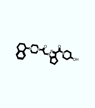 O=C(Cn1nc(C(=O)N2CCC(O)CC2)c2c1CCC2)N1CCN(C2CCCc3ccccc32)CC1